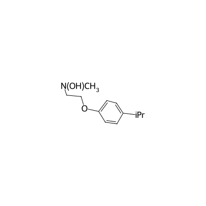 CC(C)c1ccc(OCCN(C)O)cc1